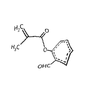 C=C(C)C(=O)Oc1ccccc1C=O